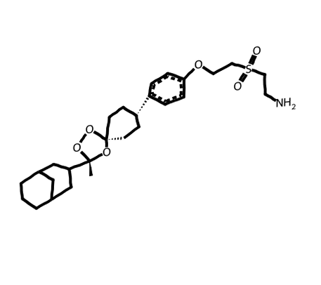 C[C@@]1(C2CC3CCCC(C3)C2)OO[C@]2(CC[C@@H](c3ccc(OCCS(=O)(=O)CCN)cc3)CC2)O1